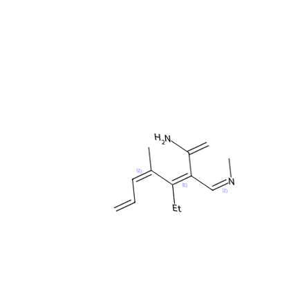 C=C\C=C(C)/C(CC)=C(/C=N\C)C(=C)N